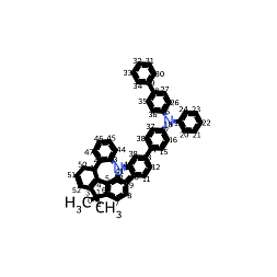 CC1(C)C2=C3c4c1ccc1c5ccc(-c6ccc(N(c7ccccc7)c7ccc(-c8ccccc8)cc7)cc6)cc5n(c41)-c1ccccc1C3CC=C2